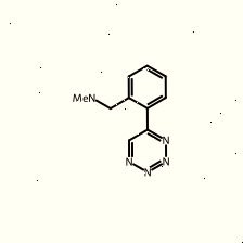 CNCc1ccccc1-c1cnnnn1